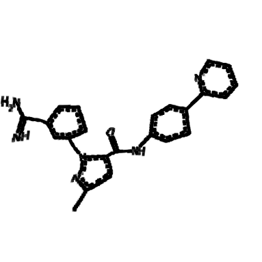 Cc1cc(C(=O)Nc2ccc(-c3ccccn3)cc2)n(-c2cccc(C(=N)N)c2)n1